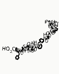 CC[C@H](C)C(NC(=O)[C@@H]1CCCC[N@+]1(C)Cc1ccc(NC(=O)C(C)(C)OC(=O)NC[C@@H](C(=O)N[C@H](C(=O)NC(C)C)C(C)C)N2C(=O)C=CC2=O)cc1)C(=O)N(C)C(CC(OC(C)=O)c1nc(C(=O)NC(Cc2ccccc2)C[C@H](C)C(=O)O)cs1)C(C)C